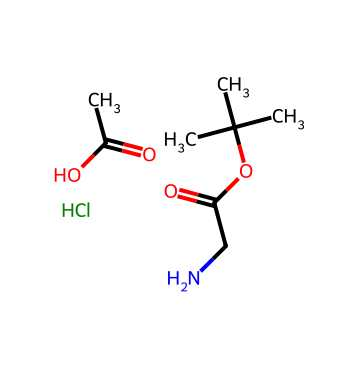 CC(=O)O.CC(C)(C)OC(=O)CN.Cl